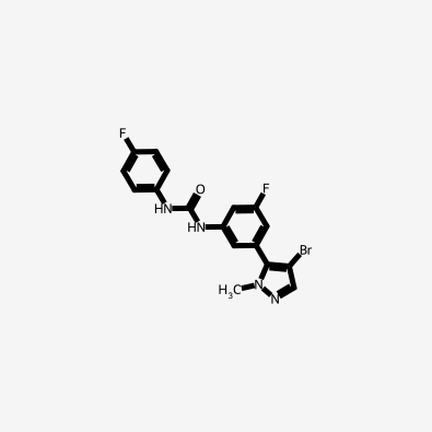 Cn1ncc(Br)c1-c1cc(F)cc(NC(=O)Nc2ccc(F)cc2)c1